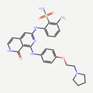 Cc1cccc(Nc2cc3cc[nH]c(=O)c3c(Nc3ccc(OCCN4CCCC4)cc3)n2)c1S(N)(=O)=O